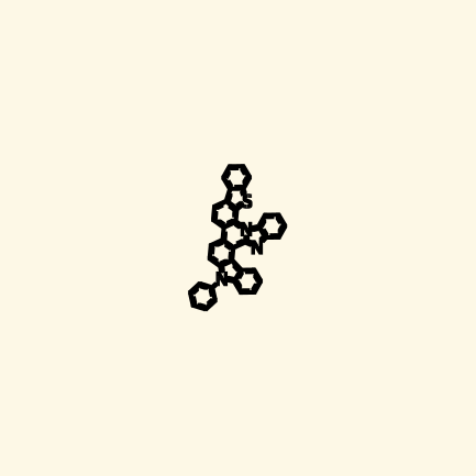 c1ccc(-n2c3ccccc3c3c4c(ccc32)c2ccc3c5ccccc5sc3c2n2c3ccccc3nc42)cc1